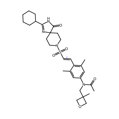 CC(=O)N(CC1(C)COC1)c1cc(C)c(/C=C/S(=O)(=O)N2CCC3(CC2)N=C(C2CCCCC2)NC3=O)c(C)c1